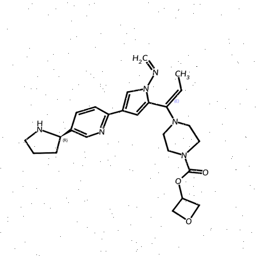 C=Nn1cc(-c2ccc([C@H]3CCCN3)cn2)cc1/C(=C\C)N1CCN(C(=O)OC2COC2)CC1